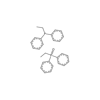 CCP(=O)(c1ccccc1)c1ccccc1.CCP(c1ccccc1)c1ccccc1